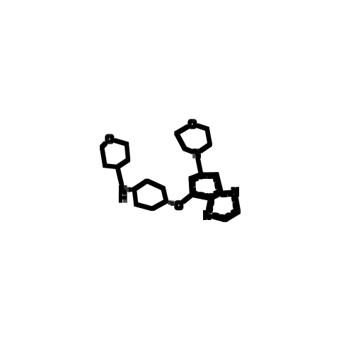 c1cnc2c(O[C@H]3CC[C@@H](NC4CCOCC4)CC3)cc(N3CCOCC3)cc2n1